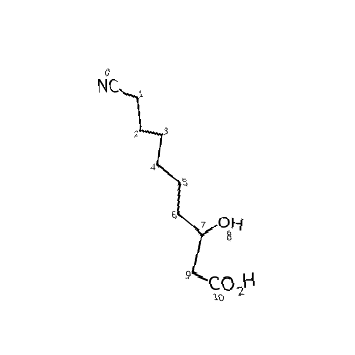 N#CCCCCCCC(O)CC(=O)O